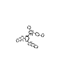 c1ccc(-c2ccc(-c3nc(-c4ccccc4)cc(-c4cc(-c5ccc6cc7ccccc7cc6n5)cc(-c5ccc6cc7ccccc7cc6n5)c4)n3)cc2)cc1